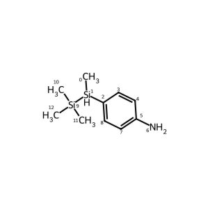 C[SiH](c1ccc(N)cc1)[Si](C)(C)C